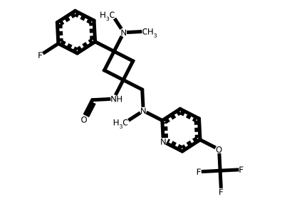 CN(CC1(NC=O)CC(c2cccc(F)c2)(N(C)C)C1)c1ccc(OC(F)(F)F)cn1